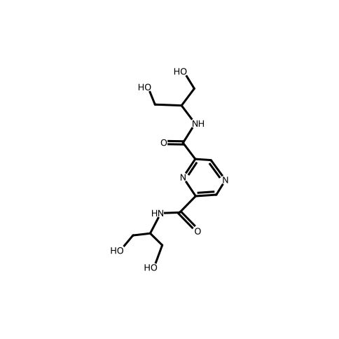 O=C(NC(CO)CO)c1cncc(C(=O)NC(CO)CO)n1